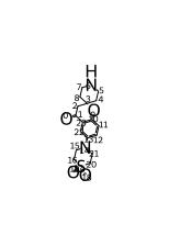 O=C1CC2(CCNCC2)Oc2ccc(N3CCS(=O)(=O)CC3)cc21